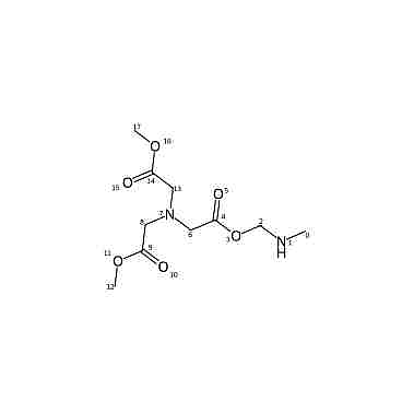 CNCOC(=O)CN(CC(=O)OC)CC(=O)OC